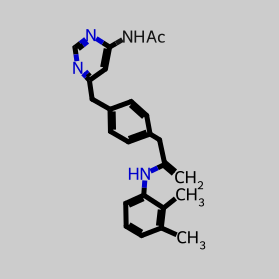 C=C(Cc1ccc(Cc2cc(NC(C)=O)ncn2)cc1)Nc1cccc(C)c1C